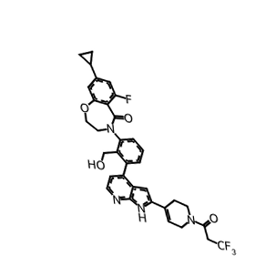 O=C(CC(F)(F)F)N1CC=C(c2cc3c(-c4cccc(N5CCOc6cc(C7CC7)cc(F)c6C5=O)c4CO)ccnc3[nH]2)CC1